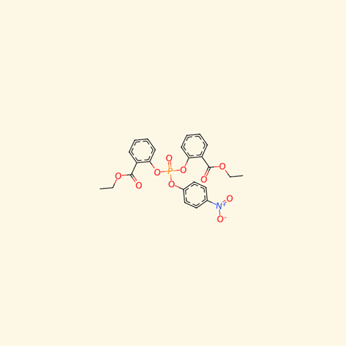 CCOC(=O)c1ccccc1OP(=O)(Oc1ccc([N+](=O)[O-])cc1)Oc1ccccc1C(=O)OCC